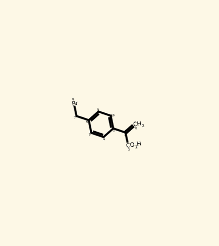 C=C(C(=O)O)c1ccc(CBr)cc1